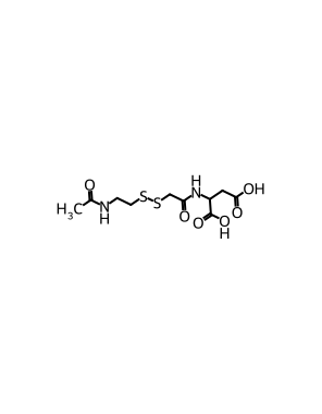 CC(=O)NCCSSCC(=O)NC(CC(=O)O)C(=O)O